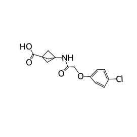 O=C(COc1ccc(Cl)cc1)NC12CC(C(=O)O)(C1)C2